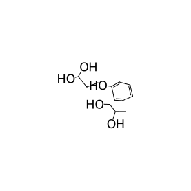 CC(O)CO.CCC(O)O.Oc1ccccc1